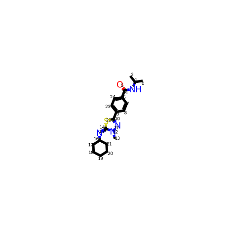 CC(C)NC(=O)c1ccc(-c2nn(C)/c(=N\C3CCCCC3)s2)cc1